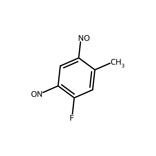 Cc1cc(F)c(N=O)cc1N=O